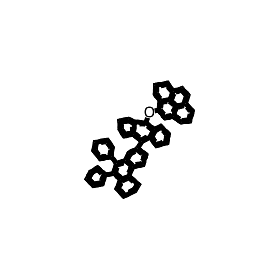 c1ccc(-c2c(-c3ccccc3)c3cc(-c4c5ccccc5c(Oc5cc6cccc7ccc8cccc5c8c76)c5ccccc45)ccc3c3ccccc23)cc1